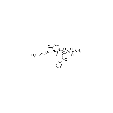 CCCCOCn1c(=O)ccn([C@@H]2O[C@H](OC(C)=O)CC2OC(=O)c2ccccc2)c1=O